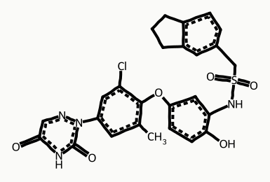 Cc1cc(-n2ncc(=O)[nH]c2=O)cc(Cl)c1Oc1ccc(O)c(NS(=O)(=O)Cc2ccc3c(c2)CCC3)c1